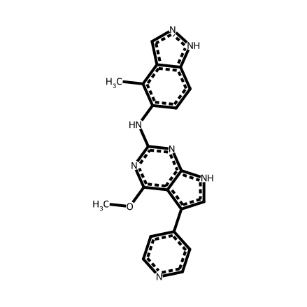 COc1nc(Nc2ccc3[nH]ncc3c2C)nc2[nH]cc(-c3ccncc3)c12